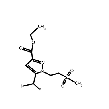 CCOC(=O)c1cc(C(F)F)n(CCS(C)(=O)=O)n1